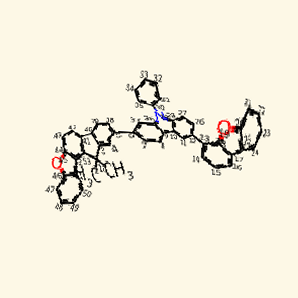 CC1(C)c2cc(-c3ccc4c5cc(-c6cccc7c6oc6ccccc67)ccc5n(-c5ccccc5)c4c3)ccc2-c2ccc3oc4ccccc4c3c21